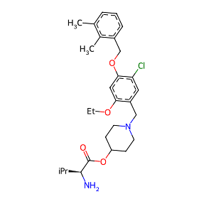 CCOc1cc(OCc2cccc(C)c2C)c(Cl)cc1CN1CCC(OC(=O)[C@@H](N)C(C)C)CC1